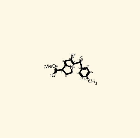 COC(=O)C1CCn2c1cc(Br)c2C(=S)c1ccc(C)cc1